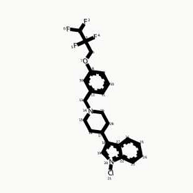 FC(F)C(F)(F)COc1cccc(CN2CCC(c3cn(Cl)c4ccccc34)CC2)c1